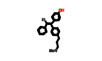 CC/C(=C(\c1ccc(O)cc1)c1ccc(CCCNC)cc1)c1ccccc1